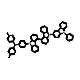 Cc1ccc(C(c2ccc(C)cc2)c2ccc(-n3c4ccccc4c4c(-c5cccc6c5c5ccccc5n6-c5ccc6c(c5)c5ccccc5n6-c5ccccc5)cccc43)cc2)cc1